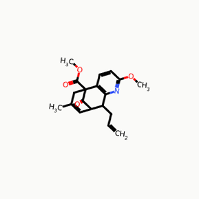 C=CCC1c2nc(OC)ccc2C2(C(=O)OC)CC(C)=CC1C2=O